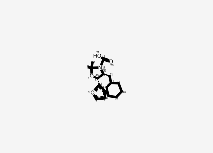 CC1(C)O[C@@H](c2ccco2)[C@H](CC2CCCCC2)N1C(=O)O